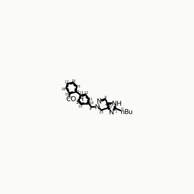 CCCCc1nc2c([nH]1)C=NN(Cc1ccc(-c3ccccc3C(=O)O)cc1)C2